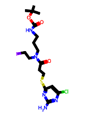 CC(C)(C)OC(=O)NCCCN(CCI)C(=O)CCSc1cc(Cl)nc(N)n1